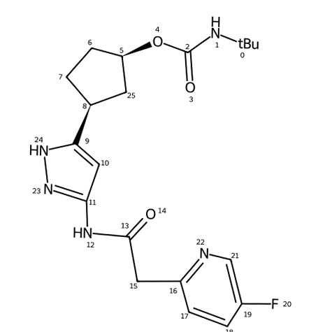 CC(C)(C)NC(=O)O[C@@H]1CC[C@H](c2cc(NC(=O)Cc3ccc(F)cn3)n[nH]2)C1